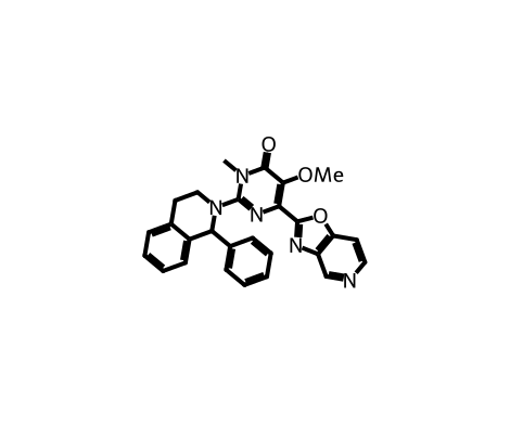 COc1c(-c2nc3cnccc3o2)nc(N2CCc3ccccc3C2c2ccccc2)n(C)c1=O